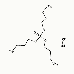 CCCCOP(=O)(OCCCC)OCCCC.OO